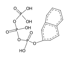 O=P(O)(O)OP(=O)(O)OP(=O)(O)Oc1ccc2ccccc2c1